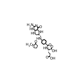 CN1CCCC1=O.Nc1nc(=O)c2c([nH]1)NC[C@@H](CNc1ccc(C(=O)N[C@@H](CCC(=O)O)C(=O)O)cc1)N2